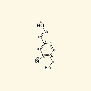 ON=Cc1ccc(CBr)c(Br)c1